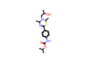 CCS/C(=N\C(C)NCC(C)O)c1ccc(NC(=O)OC(C)C)cc1